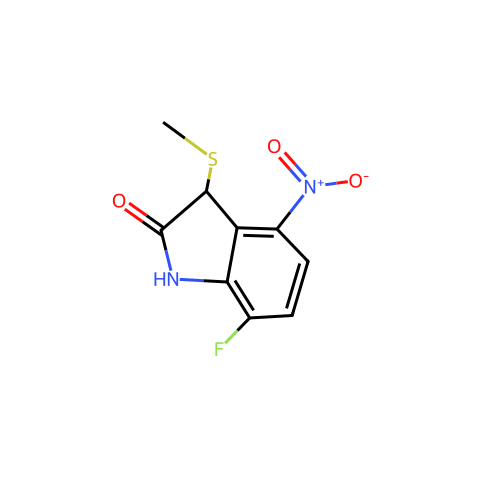 CSC1C(=O)Nc2c(F)ccc([N+](=O)[O-])c21